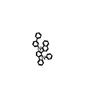 c1ccc(-c2cccc(-n3c4ccc5c6ccccc6n(-c6ccccc6)c5c4c4ccc5ccccc5c43)c2)cc1